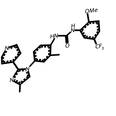 COc1ccc(C(F)(F)F)cc1NC(=O)Nc1ccc(-n2cc(C)nc2-c2ccncc2)cc1C